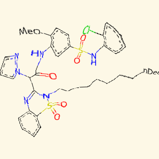 CCCCCCCCCCCCCCCCCCN1C(C(C(=O)Nc2cc(S(=O)(=O)Nc3ccccc3Cl)ccc2OC)n2cccn2)=Nc2ccccc2S1(=O)=O